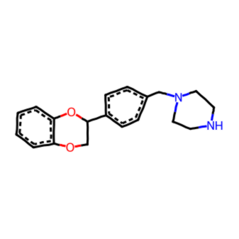 c1ccc2c(c1)OCC(c1ccc(CN3CCNCC3)cc1)O2